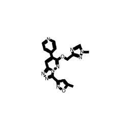 Cc1cc(-c2nnc3cc(-c4ccncc4)c(OCc4ncn(C)n4)nn23)no1